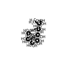 CC(C)(C)C[C@H](O)[C@@H](O)[C@H](O[C@H]1O[C@H](CO)[C@@H](O[C@H]2C[C@H](CO)[C@@H](O[C@H]3C[C@H](CO)[C@@H](O[C@H]4O[C@H](CO)[C@@H](O[C@H]5O[C@H](CO)[C@@H](O[C@H]6O[C@H](CO)[C@@H](O)[C@H](O)[C@H]6O)[C@H](O)[C@H]5O)[C@H](O)[C@H]4O)[C@H](O)[C@H]3O)[C@H](O)[C@H]2O)[C@H](O)[C@H]1O)[C@H](O)CO